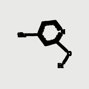 CCOc1cc(C(C)(C)C)ccn1